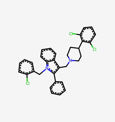 Clc1ccccc1Cn1c(-c2ccccc2)c(CN2CCC(c3c(Cl)cccc3Cl)CC2)c2ccccc21